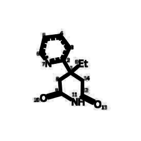 CCC1(c2ccccn2)CC(=O)NC(=O)C1